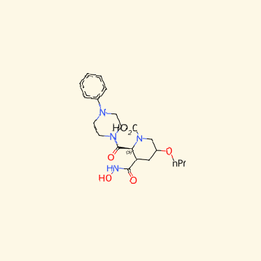 CCCOC1CC(C(=O)NO)[C@@H](C(=O)N2CCN(c3ccccc3)CC2)N(C(=O)O)C1